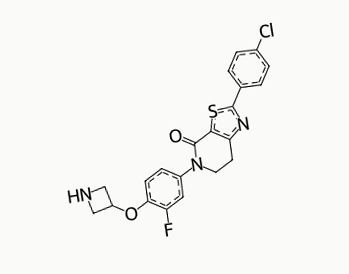 O=C1c2sc(-c3ccc(Cl)cc3)nc2CCN1c1ccc(OC2CNC2)c(F)c1